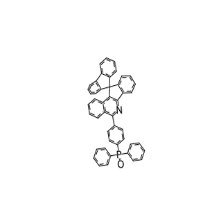 O=P(c1ccccc1)(c1ccccc1)c1ccc(-c2nc3c(c4ccccc24)C2(c4ccccc4-c4ccccc42)c2ccccc2-3)cc1